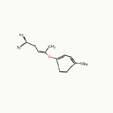 CC[C@@H](C/C=C(\C)OC1=CC=C(OC)CC1)C(C)=O